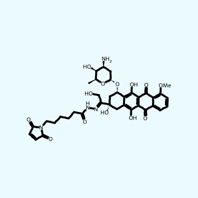 COc1cccc2c1C(=O)c1c(O)c3c(c(O)c1C2=O)C[C@@](O)(/C(CO)=N/NC(=O)CCCCCN1C(=O)C=CC1=O)C[C@@H]3O[C@H]1C[C@H](N)[C@H](O)[C@H](C)O1